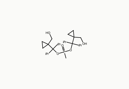 CC(C)C(OP(C)(=O)OC(C(C)C)(C(C)C)C1(CO)CC1)(C(C)C)C1(CO)CC1